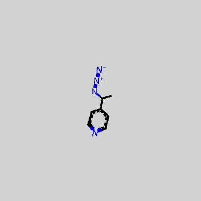 CC(N=[N+]=[N-])c1ccncc1